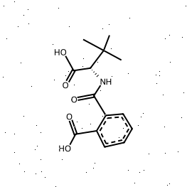 CC(C)(C)[C@H](NC(=O)c1ccccc1C(=O)O)C(=O)O